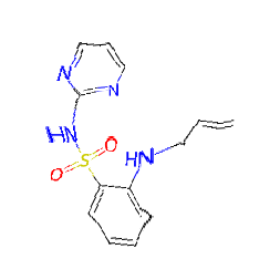 C=CCNc1ccccc1S(=O)(=O)Nc1ncccn1